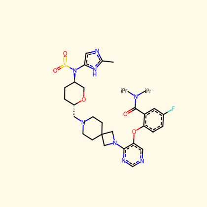 Cc1ncc(N([C@@H]2CC[C@@H](CN3CCC4(CC3)CN(c3ncncc3Oc3ccc(F)cc3C(=O)N(C(C)C)C(C)C)C4)OC2)[SH](=O)=O)[nH]1